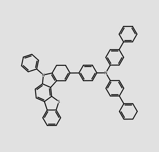 C1=CC(c2ccc(N(c3ccc(C4=Cc5c(n(-c6ccccc6)c6ccc7c8ccccc8sc7c56)CC4)cc3)c3ccc(-c4ccccc4)cc3)cc2)=CCC1